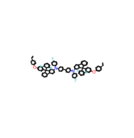 C=Cc1ccc(Oc2ccc(C3(c4c(F)cccc4F)c4ccccc4-c4ccc(N(c5ccc(F)cc5)c5ccc(-c6ccc(N(c7ccc(F)cc7)c7ccc8c(c7)C(c7ccc(Oc9ccc(C=C)cc9)cc7)(c7c(F)cccc7F)c7ccccc7-8)cc6)cc5)cc43)cc2)cc1